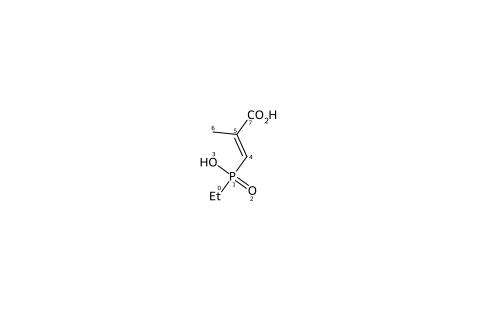 CCP(=O)(O)C=C(C)C(=O)O